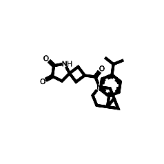 CC(C)c1ccc(C23CCN(C(=O)C4CC5(CC(=O)C(=O)N5)C4)CC2C3)cc1